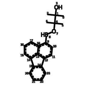 CC(C)(O)C(C)(C)OBc1ccc2c3c(cccc13)-c1ccccc1-2